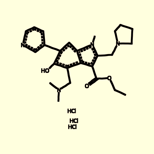 CCOC(=O)c1c(CN2CCCC2)n(C)c2cc(-c3cccnc3)c(O)c(CN(C)C)c12.Cl.Cl.Cl